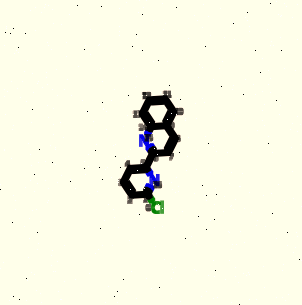 Clc1cccc(-c2ccc3ccccc3n2)n1